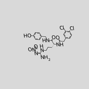 N/C(=N/[N+](=O)[O-])NCCC[C@@H](NC(=O)Cc1ccc(Cl)c(Cl)c1)C(=O)NCc1ccc(O)cc1